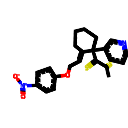 CC(=S)C(=S)C1(c2cccnc2)CCCCC1=CCOc1ccc([N+](=O)[O-])cc1